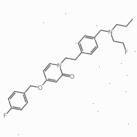 CCCN(CCF)Cc1ccc(CCn2ccc(OCc3ccc(F)cc3)cc2=O)cc1